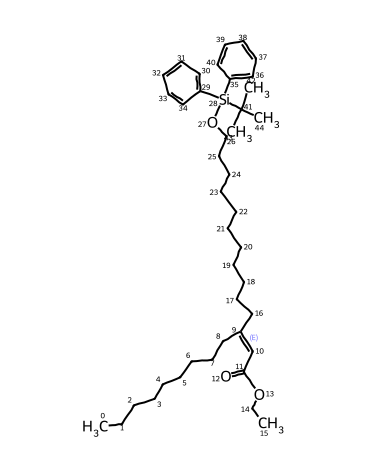 CCCCCCCCC/C(=C\C(=O)OCC)CCCCCCCCCCCO[Si](c1ccccc1)(c1ccccc1)C(C)(C)C